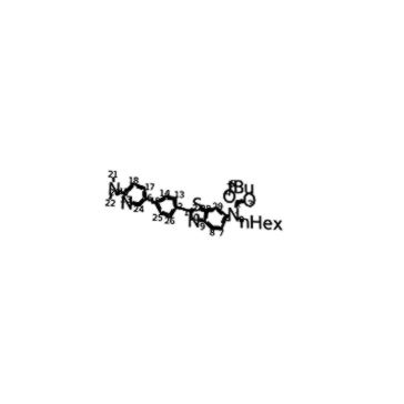 CCCCCCN(C(=O)OC(C)(C)C)c1ccc2nc(-c3ccc(-c4ccc(N(C)C)nc4)cc3)sc2c1